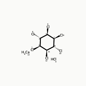 Cl.Cl[C@H]1[C@H](Cl)[C@@H](Cl)[C@@H](Cl)[C@H](Cl)[C@H]1Cl.[CaH2]